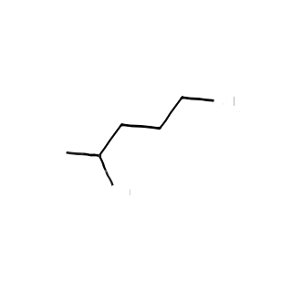 BCCCC(CC)CCC